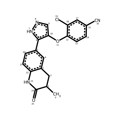 CC1Cc2cc(-c3[nH]ncc3Oc3ccc(C#N)cc3Cl)ccc2NC1=O